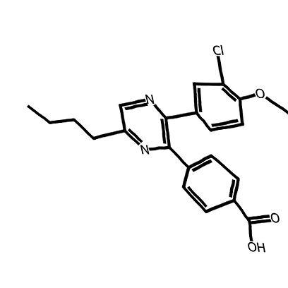 CCCCc1cnc(-c2ccc(OC)c(Cl)c2)c(-c2ccc(C(=O)O)cc2)n1